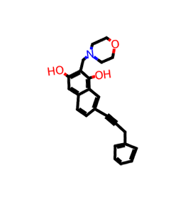 Oc1cc2ccc(C#CCc3ccccc3)cc2c(O)c1CN1CCOCC1